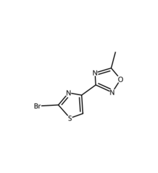 Cc1nc(-c2csc(Br)n2)no1